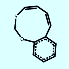 [CH]1Oc2ccccc2C=CC=CS1